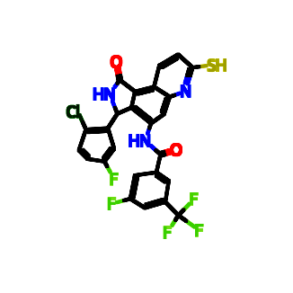 O=C(Nc1cc2nc(S)ccc2c2c1C(c1cc(F)ccc1Cl)NC2=O)c1cc(F)cc(C(F)(F)F)c1